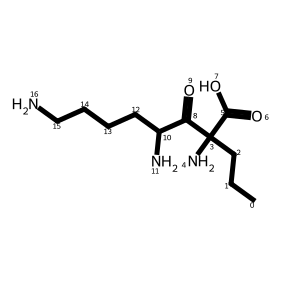 CCCC(N)(C(=O)O)C(=O)C(N)CCCCN